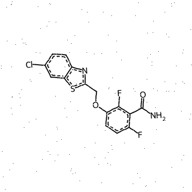 NC(=O)c1c(F)ccc(OCc2nc3ccc(Cl)cc3s2)c1F